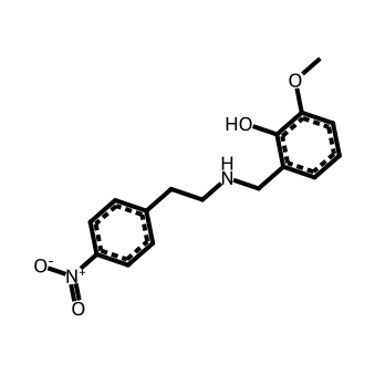 COc1cccc(CNCCc2ccc([N+](=O)[O-])cc2)c1O